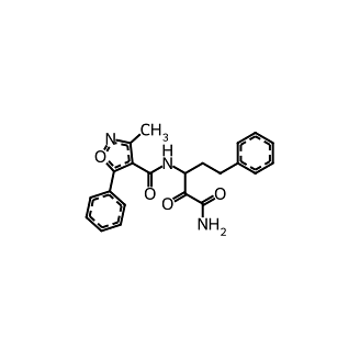 Cc1noc(-c2ccccc2)c1C(=O)NC(CCc1ccccc1)C(=O)C(N)=O